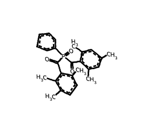 Cc1cc(C)c(C(=O)P(=O)(C(=O)c2c(C)ccc(C)c2C)c2ccccc2)c(C)c1